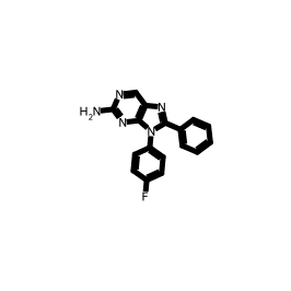 Nc1ncc2nc(-c3ccccc3)n(-c3ccc(F)cc3)c2n1